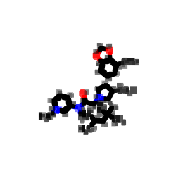 CCCN(C(=O)CN1C[C@H](c2cc(OC)c3c(c2)OCO3)[C@@H](C(=O)O)[C@@H]1CC(C)(C)C=C(C)C)c1ccc[n+](C)c1